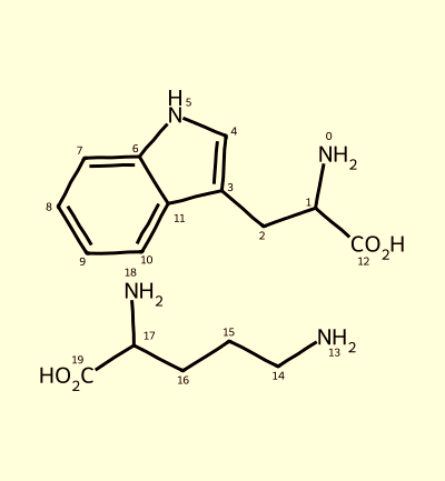 NC(Cc1c[nH]c2ccccc12)C(=O)O.NCCCC(N)C(=O)O